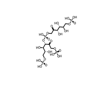 O=C(COP(=O)(O)O[C@H](C(=O)COP(=O)(O)O)[C@H](O)[C@H](O)COP(=O)(O)O)[C@@H](O)[C@H](O)[C@H](O)COP(=O)(O)O